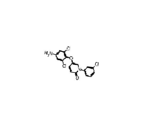 Nc1cc(Cl)c(Oc2ccc(=O)n(-c3cccc(Cl)c3)c2)c(Cl)c1